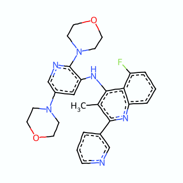 Cc1c(-c2cccnc2)nc2cccc(F)c2c1Nc1cc(N2CCOCC2)cnc1N1CCOCC1